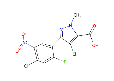 Cn1nc(-c2cc([N+](=O)[O-])c(Cl)cc2F)c(Cl)c1C(=O)O